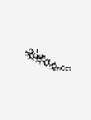 CCCCCCCCOc1ccc(-c2ccc(-c3ccc(-c4ccc(CCCCCCCC)cc4)cc3)c(F)n2)cc1